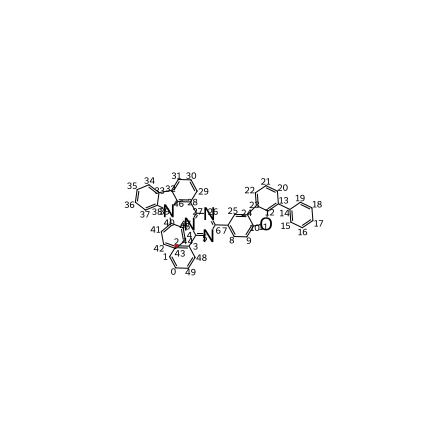 c1ccc(-c2nc(-c3ccc4oc5c(-c6ccccc6)cccc5c4c3)nc(-c3cccc4c5ccccc5n(-c5ccccc5)c34)n2)cc1